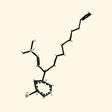 C=CCCCCCCCC(/C=C/N(C)C)c1cncc(Br)c1